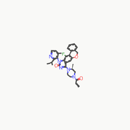 C=CC(=O)N1CCN(c2nc(=O)n(-c3c(C)ccnc3C(C)C)c3c(F)c4c(cc23)OCc2ccccc2-4)[C@@H](C)C1